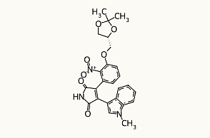 Cn1cc(C2=C(c3cccc(OC[C@@H]4COC(C)(C)O4)c3[N+](=O)[O-])C(=O)NC2=O)c2ccccc21